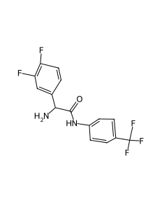 NC(C(=O)Nc1ccc(C(F)(F)F)cc1)c1ccc(F)c(F)c1